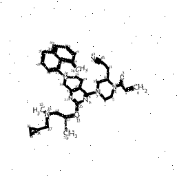 C=CC(=O)N1CCN(c2nc(O[C@@H](C)CN(C)CC3CC3)nc3c2CCN(c2cccc4cccc(C)c24)C3)CC1CC#N